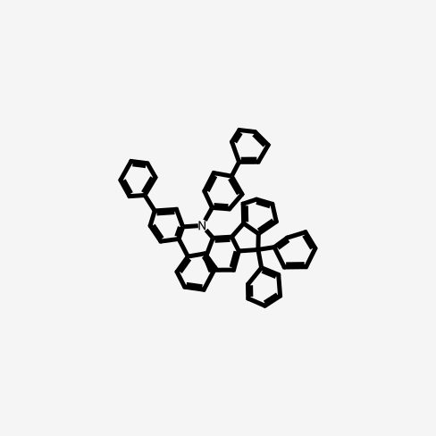 c1ccc(-c2ccc(N(c3cc(-c4ccccc4)ccc3-c3ccccc3)c3cccc4c3-c3ccccc3C4(c3ccccc3)c3ccccc3)cc2)cc1